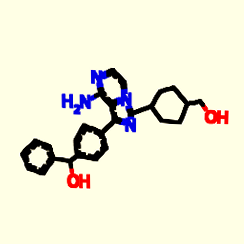 Nc1nccn2c(C3CCC(CO)CC3)nc(-c3ccc(C(O)c4ccccc4)cc3)c12